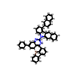 c1ccc(-c2ccc3c(-c4cccc5c4sc4ccccc45)nc(-n4c5cc6ccccc6cc5c5c(-c6ccc7ccccc7c6)cccc54)nc3c2)cc1